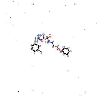 Cc1cccc(Nc2nnc(C(=O)NCCCOc3ccccc3)o2)c1